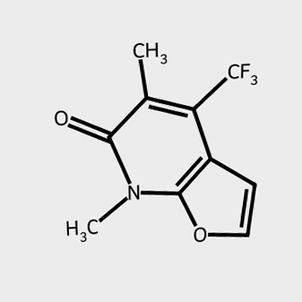 Cc1c(C(F)(F)F)c2ccoc2n(C)c1=O